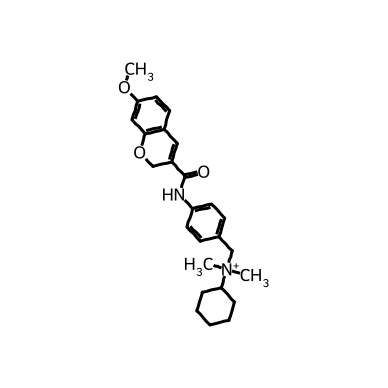 COc1ccc2c(c1)OCC(C(=O)Nc1ccc(C[N+](C)(C)C3CCCCC3)cc1)=C2